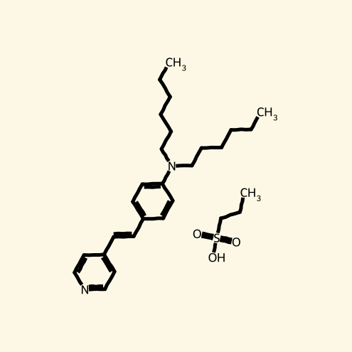 CCCCCCN(CCCCCC)c1ccc(C=Cc2ccncc2)cc1.CCCS(=O)(=O)O